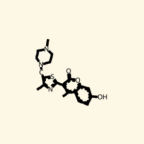 Cc1nc(-c2c(C)c3ccc(O)cc3oc2=O)sc1CN1CCN(C)CC1